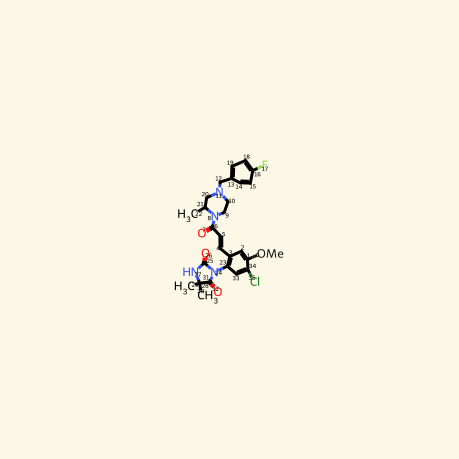 COc1cc(C=CC(=O)N2CCN(Cc3ccc(F)cc3)CC2C)c(N2C(=O)NC(C)(C)C2=O)cc1Cl